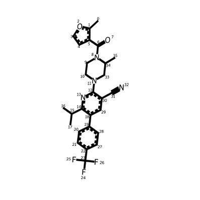 Cc1occc1C(=O)N1CCN(c2nc(C(C)C)c(-c3ccc(C(F)(F)F)cc3)cc2C#N)CC1C